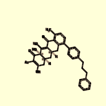 CC(=O)C1=C(O)C[C@@H]2C[C@@H]3Cc4c(-c5ccc(CCCc6ccccc6)cc5)ccc(C)c4C(=O)C3=C(O)[C@]2(O)C1=O